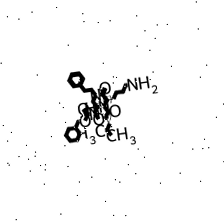 CC(C)C[C@@H]1ON(C(=O)OCC2CCCCC2)[C@H]2CN(CCc3ccccc3)C(=O)[C@H](CCCCN)N2C1=O